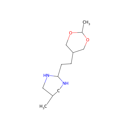 CC1CNC(CCC2COC(C)OC2)NC1